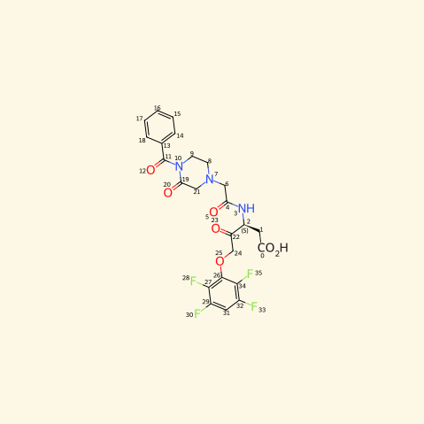 O=C(O)C[C@H](NC(=O)CN1CCN(C(=O)c2ccccc2)C(=O)C1)C(=O)COc1c(F)c(F)cc(F)c1F